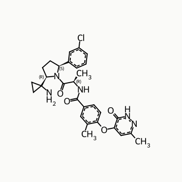 Cc1cc(Oc2ccc(C(=O)N[C@H](C)C(=O)N3[C@H](c4cccc(Cl)c4)CC[C@@H]3C3(N)CC3)cc2C)c(=O)[nH]n1